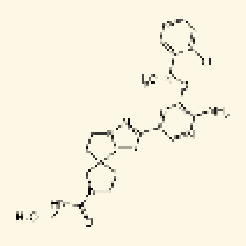 CCNC(=O)N1CCC2(CCn3nc(-c4cnc(N)c(O[C@H](C)c5ccccc5Cl)c4)cc32)C1